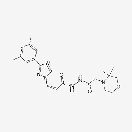 Cc1cc(C)cc(-c2ncn(/C=C\C(=O)NNC(=O)CN3CCOCC3(C)C)n2)c1